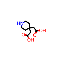 O=C(O)CC1(CC(=O)O)CCNCC1